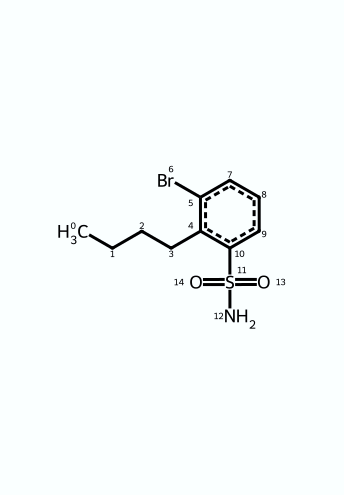 CCCCc1c(Br)cccc1S(N)(=O)=O